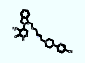 N#Cc1ccc(N2CCN(C/C=C/COC[C@@H]3c4ccccc4CN3c3cn[nH]c(=O)c3C(F)(F)F)CC2)nc1